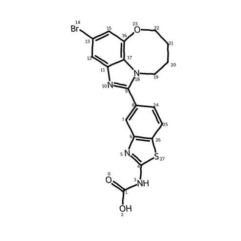 O=C(O)Nc1nc2cc(-c3nc4cc(Br)cc5c4n3CCCCO5)ccc2s1